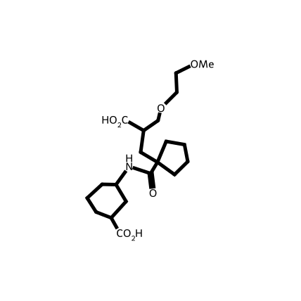 COCCOCC(CC1(C(=O)NC2CCCC(C(=O)O)C2)CCCC1)C(=O)O